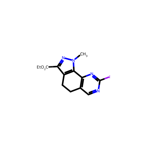 CCOC(=O)c1nn(C)c2c1CCc1cnc(I)nc1-2